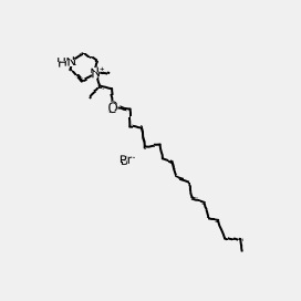 CCCCCCCCCCCCCCCCOCC(C)[N+]1(C)CCNCC1.[Br-]